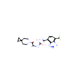 C[C@H](Nc1nnc(-c2ccc(C(F)F)c3nn[nH]c23)o1)C(=O)N1CCC2(CC1)CC2